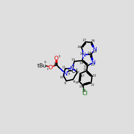 CC(C)(C)OC(=O)N1CCC2CCC1CN2Cc1c(-c2ccc(Cl)cc2)nc2ncccn12